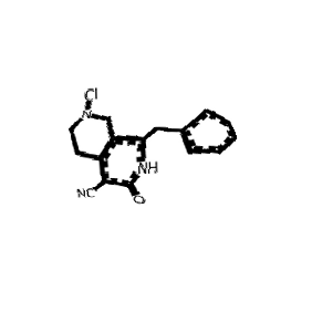 N#Cc1c2c(c(Cc3ccccc3)[nH]c1=O)CN(Cl)CC2